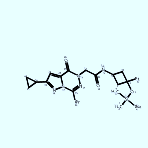 CCC1(O[Si](C)(C)C(C)(C)C)CC(NC(=O)Cn2nc(C(C)C)n3nc(C4CC4)cc3c2=O)C1